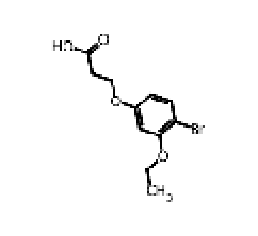 CCOc1cc(OCCC(=O)O)ccc1Br